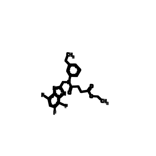 CCOC(=O)CCC(=O)N(Cc1nc2c(F)c(F)cc(F)c2s1)c1cccc(CC)c1